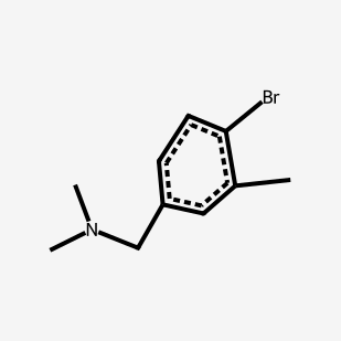 Cc1cc(CN(C)C)ccc1Br